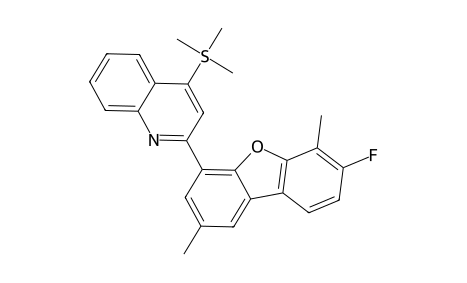 Cc1cc(-c2cc(S(C)(C)C)c3ccccc3n2)c2oc3c(C)c(F)ccc3c2c1